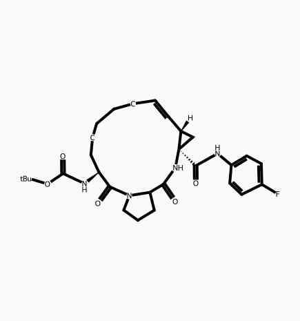 CC(C)(C)OC(=O)N[C@H]1CCCCC/C=C\[C@@H]2C[C@@]2(C(=O)Nc2ccc(F)cc2)NC(=O)C2CCCN2C1=O